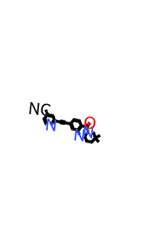 CC1(C)CCc2nc3cc(C#Cc4cc(C#N)ccn4)ccc3c(=O)n2C1